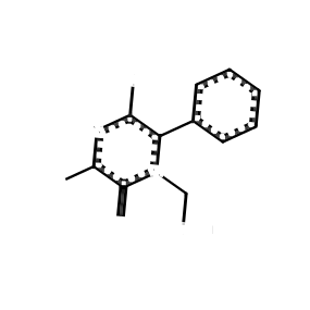 CCc1nc(Cl)c(-c2ccccc2)n(CC(=O)O)c1=O